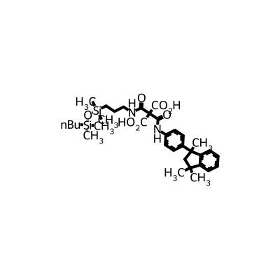 CCCC[Si](C)(C)O[Si](C)(C)CCCNC(=O)C(C(=O)O)(C(=O)O)C(=O)Nc1ccc(C2(C)CC(C)(C)c3ccccc32)cc1